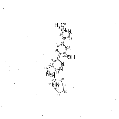 Cn1cc(-c2ccc(-c3cc4cnn(C5CC6CCC(C5)N6)c4nn3)c(O)c2)cn1